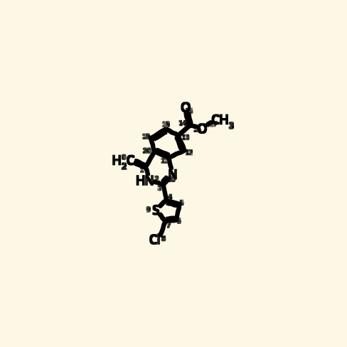 C=C1NC(c2ccc(Cl)s2)=Nc2cc(C(=O)OC)ccc21